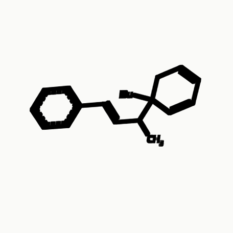 CCC(C)C1(C(C)C=Cc2ccccc2)C=CC=CC1